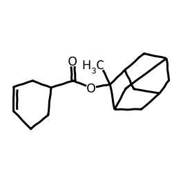 CC1(OC(=O)C2CC=CCC2)C2CC3CC(C2)CC1C3